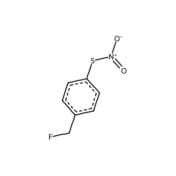 O=[N+]([O-])Sc1ccc(CF)cc1